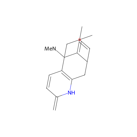 C=C1C=CC2=C(CC3C=C(C)CC2(NC)/C3=C/C)N1